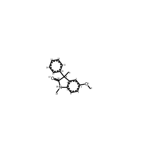 COc1ccc2c(c1)C(C)(c1ccccc1)C(=O)N2C